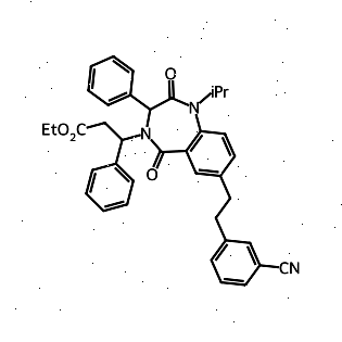 CCOC(=O)CC(c1ccccc1)N1C(=O)c2cc(CCc3cccc(C#N)c3)ccc2N(C(C)C)C(=O)C1c1ccccc1